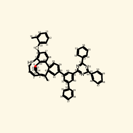 C/C1=C2\C=C/CPc3c(Oc4ccccc4C)ccc(c3-c3ccccc32)-c2ccc(-c3cc(-c4ccccc4)cc(-c4nc(-c5ccccc5)nc(-c5ccccc5)n4)c3)cc21